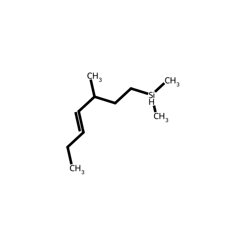 CCC=CC(C)CC[SiH](C)C